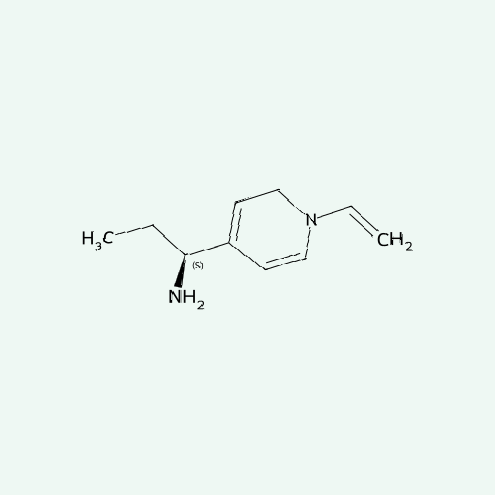 C=CN1C=CC([C@@H](N)CC)=CC1